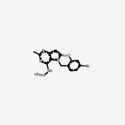 CCCCCNc1nc(C)nc2ccn(Cc3ccc(Br)cc3OC)c12